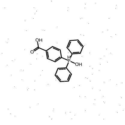 O=C(O)c1ccc([PH](O)(c2ccccc2)c2ccccc2)cc1